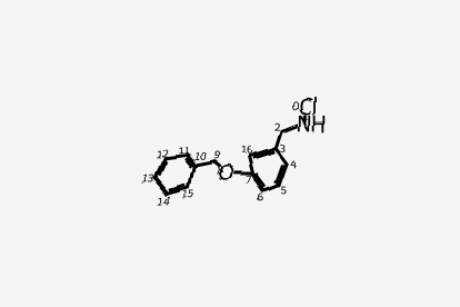 ClNCc1cccc(OCc2ccccc2)c1